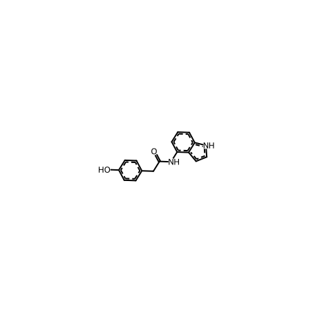 O=C(Cc1ccc(O)cc1)Nc1cccc2[nH]ccc12